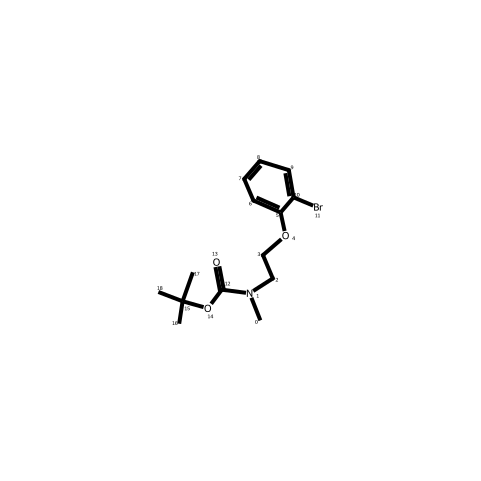 CN(CCOc1ccccc1Br)C(=O)OC(C)(C)C